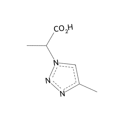 Cc1cn(C(C)C(=O)O)nn1